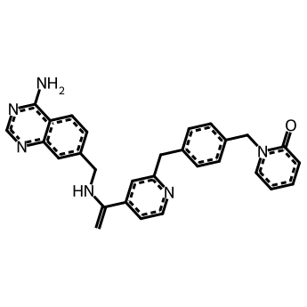 C=C(NCc1ccc2c(N)ncnc2c1)c1ccnc(Cc2ccc(Cn3ccccc3=O)cc2)c1